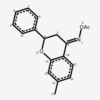 CC(=O)O/N=C1\CC(c2ccccc2)Oc2cc(C)ccc21